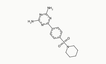 Nc1nc(N)nc(-c2ccc(S(=O)(=O)N3CCCCC3)cc2)n1